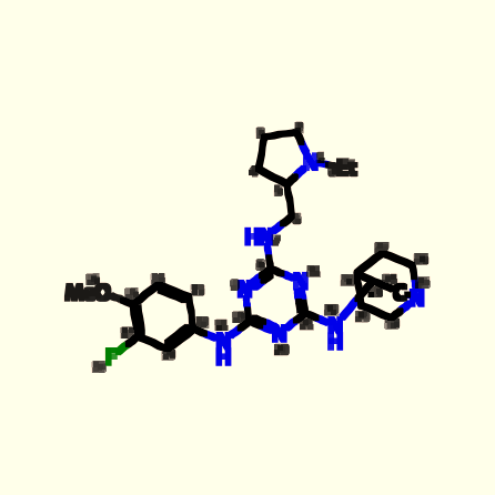 CCN1CCCC1CNc1nc(Nc2ccc(OC)c(F)c2)nc(NC2CN3CCC2CC3)n1